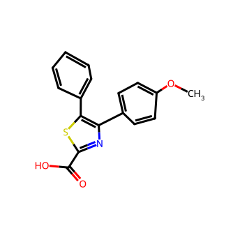 COc1ccc(-c2nc(C(=O)O)sc2-c2ccccc2)cc1